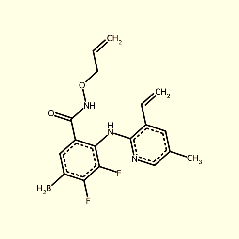 Bc1cc(C(=O)NOCC=C)c(Nc2ncc(C)cc2C=C)c(F)c1F